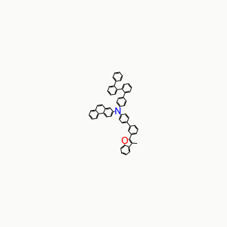 Cc1c(-c2cccc(-c3ccc(N(c4ccc(-c5ccccc5-c5ccccc5-c5ccccc5)cc4)c4ccc5c(ccc6ccccc65)c4)cc3)c2)oc2ccccc12